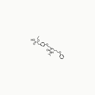 CCOC(Cc1ccc(OCCN(CCCCOc2ccccc2)C(=O)NC(C)C)cc1)C(=O)O